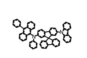 c1ccc(-c2c3ccccc3c(N(c3ccccc3)c3ccc4c(c3)C3(c5ccccc5-c5ccccc53)c3cc(-n5c6ccccc6c6ccccc65)ccc3-4)c3ccccc23)cc1